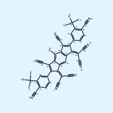 N#CC(C#N)=C1C(c2ccc(C#N)c(C(F)(F)F)c2)=C(C#N)c2c1cc1c(c2F)C(C#N)=C(c2ccc(C#N)c(C(F)(F)F)c2)C1=C(C#N)C#N